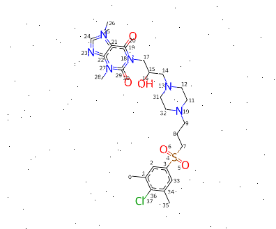 Cc1cc(S(=O)(=O)CCCN2CCN(CC(O)Cn3c(=O)c4c(ncn4C)n(C)c3=O)CC2)cc(C)c1Cl